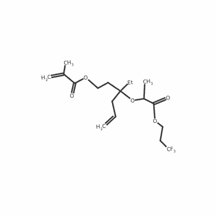 C=CCC(CC)(CCOC(=O)C(=C)C)OC(C)C(=O)OCCC(F)(F)F